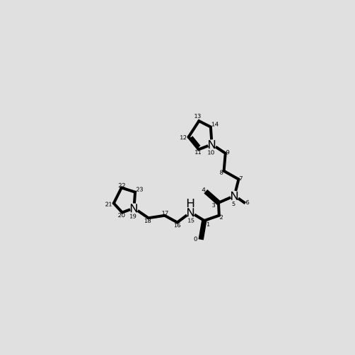 C=C(CC(=C)N(C)CCCN1C=CCC1)NCCCN1CCCC1